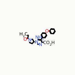 C=CC(=O)N1CC[C@@H](N2CN=C(C(=O)O)C(c3ccc(Oc4ccccc4)cc3)=C2N)C1